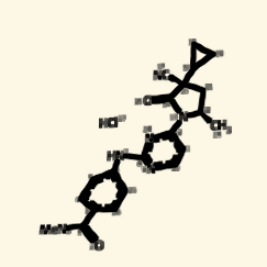 CNC(=O)c1ccc(Nc2nccc(N3C(=O)[C@](C#N)(C4CC4)C[C@H]3C)n2)cc1.Cl